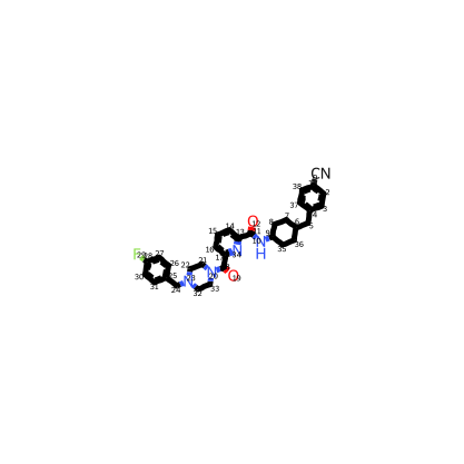 N#Cc1ccc(CC2CCC(NC(=O)c3cccc(C(=O)N4CCN(Cc5ccc(F)cc5)CC4)n3)CC2)cc1